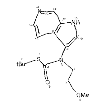 COCCN(C(=O)OC(C)(C)C)c1n[nH]c2cnccc12